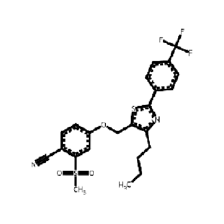 CCCCc1nc(-c2ccc(C(F)(F)F)cc2)sc1COc1ccc(C#N)c(S(C)(=O)=O)c1